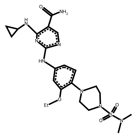 CCOc1cc(Nc2ncc(C(N)=O)c(NC3CC3)n2)ccc1N1CCN(S(=O)(=O)N(C)C)CC1